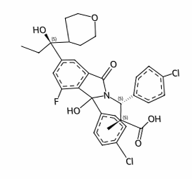 CC[C@@](O)(c1cc(F)c2c(c1)C(=O)N([C@H](c1ccc(Cl)cc1)[C@H](C)C(=O)O)C2(O)c1ccc(Cl)cc1)C1CCOCC1